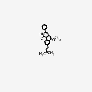 C=C(C)CCc1ccc2c(c1)c(OC)cc1cc(-c3ccccc3)[nH]c(=O)c12